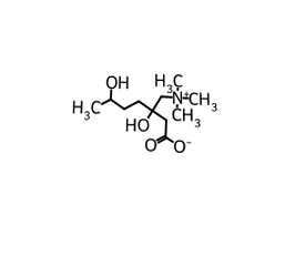 CC(O)CCC(O)(CC(=O)[O-])C[N+](C)(C)C